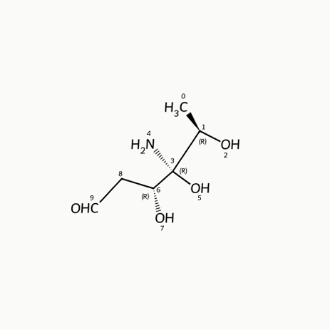 C[C@@H](O)[C@@](N)(O)[C@H](O)CC=O